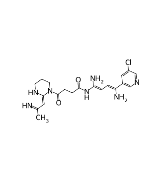 CC(=N)/C=C1\NCCCN1C(=O)CCC(=O)N/C(N)=C/C=C(\N)c1cncc(Cl)c1